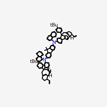 C=CC1CCC2=C[C@@H]1C1=CCCC3=C1c1ccc(N(c4ccc5c(c4)C(C)(C)c4cc(N(c6ccc7c(c6)C6(c8ccc(C(C)(C)C)cc8)CC8=C[C@@H](C9=CCCC6=C97)C(C=C)CC8)c6cccc7ccccc67)ccc4-5)c4cccc5ccccc45)cc1C3(c1ccc(C(C)(C)C)cc1)C2